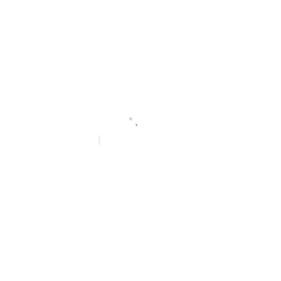 CCCC(C#N)CC.Cl